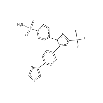 NS(=O)(=O)c1ccc(-n2nc(C(F)(F)F)cc2-c2ccc(-c3cscn3)cc2)cc1